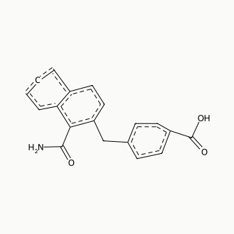 NC(=O)c1c(Cc2ccc(C(=O)O)cc2)ccc2ccccc12